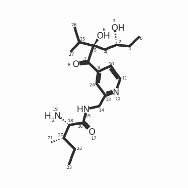 CC[C@@H](O)C[C@](O)(C(=O)c1ccnc(CNC(=O)[C@@H](N)[C@@H](C)CC)c1)C(C)C